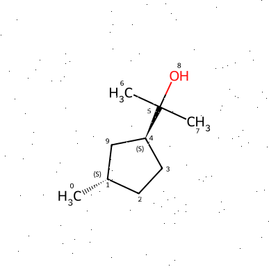 C[C@H]1CC[C@H](C(C)(C)O)C1